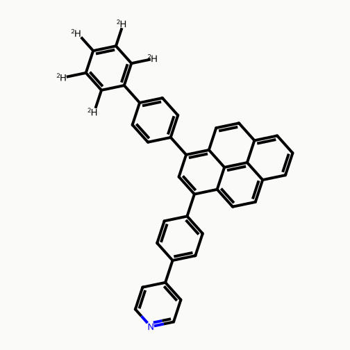 [2H]c1c([2H])c([2H])c(-c2ccc(-c3cc(-c4ccc(-c5ccncc5)cc4)c4ccc5cccc6ccc3c4c56)cc2)c([2H])c1[2H]